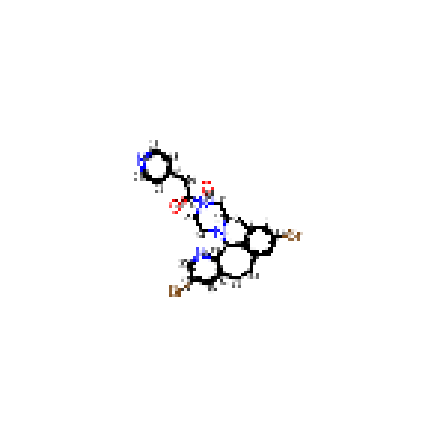 Cc1cc(Br)cc2c1C(N1CC[N+]([O-])(C(=O)Cc3ccncc3)CC1)c1ncc(Br)cc1CC2